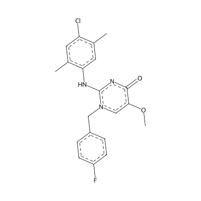 COc1cn(Cc2ccc(F)cc2)c(Nc2cc(C)c(Cl)cc2C)nc1=O